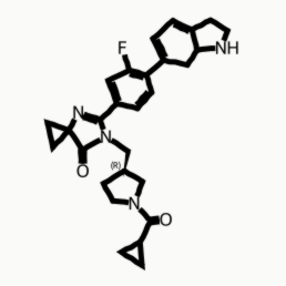 O=C(C1CC1)N1CC[C@@H](CN2C(=O)C3(CC3)N=C2c2ccc(C3=CC=C4CCNC4C3)c(F)c2)C1